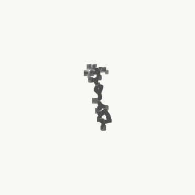 CC(C)(C)OC(=O)N1CC(CNc2nc3nc(Cl)ccc3o2)C1